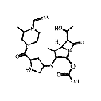 CC(O)C1C(=O)N2C(OC(=O)O)=C(SC3CNC(C(=O)N4CCN(C=N)C(C)C4)C3)C(C)[C@@H]12